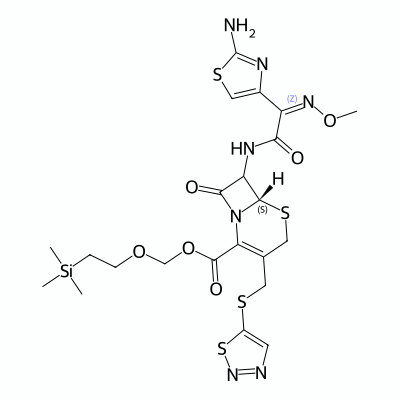 CO/N=C(\C(=O)NC1C(=O)N2C(C(=O)OCOCC[Si](C)(C)C)=C(CSc3cnns3)CS[C@@H]12)c1csc(N)n1